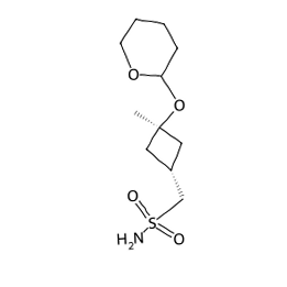 C[C@]1(OC2CCCCO2)C[C@H](CS(N)(=O)=O)C1